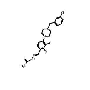 NC(=S)NN=Cc1ccc(N2CCN(Cc3cccc(Cl)c3)CC2)c(F)c1F